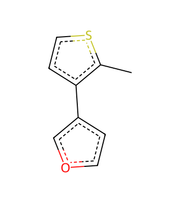 Cc1sccc1-c1ccoc1